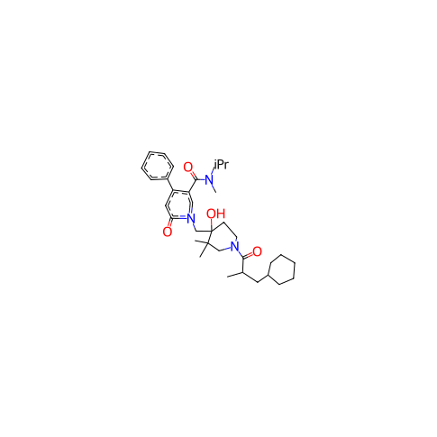 CC(CC1CCCCC1)C(=O)N1CCC(O)(Cn2cc(C(=O)N(C)C(C)C)c(-c3ccccc3)cc2=O)C(C)(C)C1